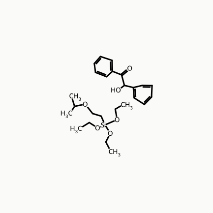 CCO[Si](CCOC(C)C)(OCC)OCC.O=C(c1ccccc1)C(O)c1ccccc1